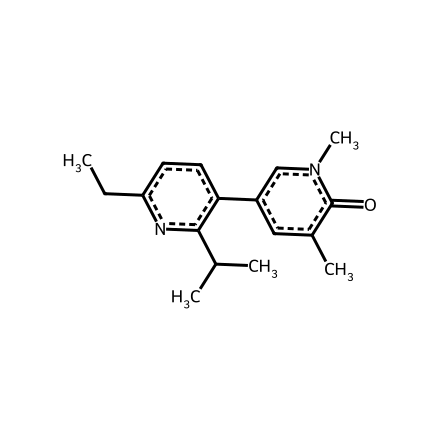 CCc1ccc(-c2cc(C)c(=O)n(C)c2)c(C(C)C)n1